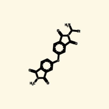 CCC(N)N1C(=O)c2ccc(Oc3ccc4c(c3)C(=O)N(C)C4=O)cc2C1=O